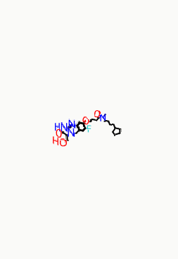 CN(CCCCC1CCCC1)C(=O)CCCOc1cc2c(cc1F)CN1C(=N2)NC(=O)C1CO